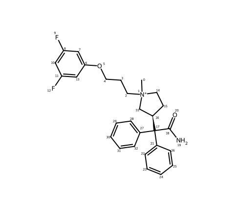 C[N+]1(CCCOc2cc(F)cc(F)c2)CC[C@@H](C(C(N)=O)(c2ccccc2)c2ccccc2)C1